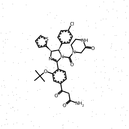 CC(C)(C)Oc1cc(C(=O)CC(N)=O)ccc1C1=N[C@@H](c2cccs2)[C@@H](c2ccc(Cl)cc2)N1C(=O)N1CCNC(=O)C1